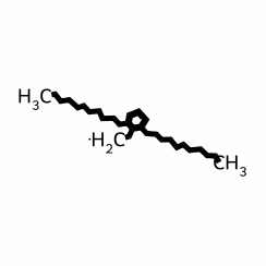 [CH2]Cc1c(CCCCCCCCCCC)cccc1CCCCCCCCCCC